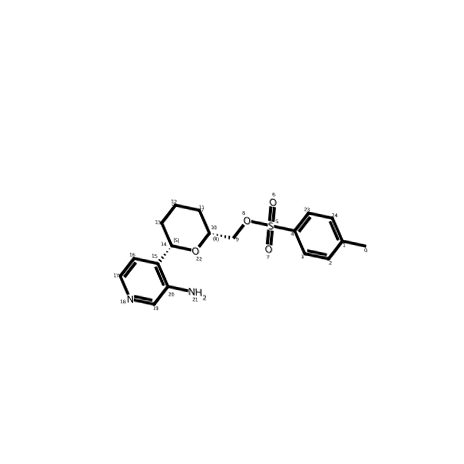 Cc1ccc(S(=O)(=O)OC[C@H]2[CH][CH]C[C@@H](c3ccncc3N)O2)cc1